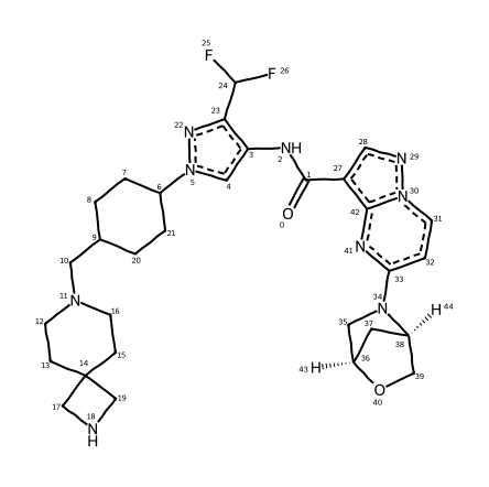 O=C(Nc1cn(C2CCC(CN3CCC4(CC3)CNC4)CC2)nc1C(F)F)c1cnn2ccc(N3C[C@H]4C[C@@H]3CO4)nc12